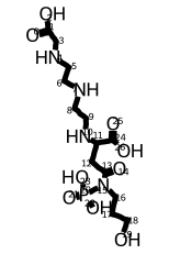 O=C(O)CNCCNCCNC(CC(=O)N(CCCO)P(=O)(O)O)C(=O)O